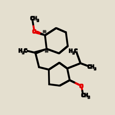 COC1CCC(CC(C)[C@@H]2CCCC[C@@H]2OC)CC1C(C)C